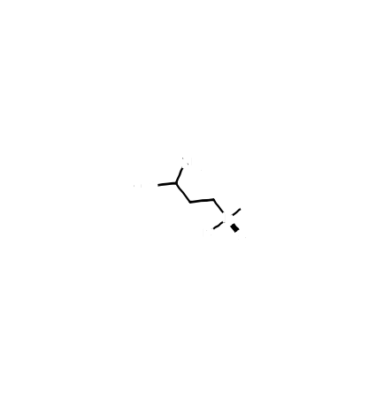 NC(CCP(=O)(O)S)C(=O)O